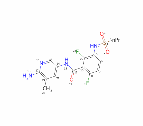 CCCS(=O)(=O)Nc1ccc(F)c(C(=O)Nc2cnc(N)c(C)c2)c1F